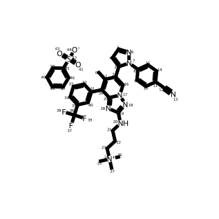 Cc1c(-c2ccnn2-c2ccc(C#N)cc2)cn2nc(NCCC[N+](C)(C)C)nc2c1-c1cccc(C(F)(F)F)c1.O=S(=O)([O-])c1ccccc1